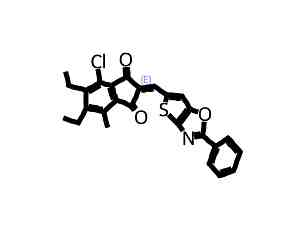 CCc1c(C)c2c(c(Cl)c1CC)C(=O)/C(=C/c1cc3oc(-c4ccccc4)nc3s1)C2=O